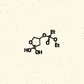 CCOP(=O)(CC)OC1COS(O)(O)C1